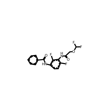 O=C(COC(F)F)Nc1c(F)ccc(NC(=O)c2ccccc2)c1F